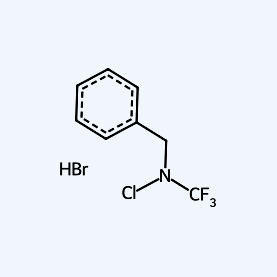 Br.FC(F)(F)N(Cl)Cc1ccccc1